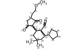 COCCC1CC(=O)/C(=C2\CC(C)(C)CC(N3CCCC3)=C2C#N)C1=O